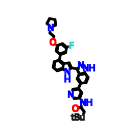 CC(C)(C)CC(=O)Nc1cncc(-c2ccc3[nH]nc(-c4cc5c(-c6cc(F)cc(OCCN7CCCC7)c6)cccc5[nH]4)c3c2)c1